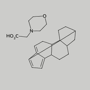 C1=C2C3=CC=C2C2CCC4CC3CCC4C2C1.O=C(O)CN1CCOCC1